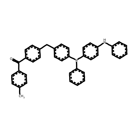 Cc1ccc(C(=O)c2ccc(Cc3ccc(N(c4ccccc4)c4ccc(Nc5ccccc5)cc4)cc3)cc2)cc1